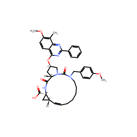 COc1ccc(CN2CCCCC/C=C\[C@@H]3C[C@@]3(C(=O)O)NC(=O)[C@@H]3C[C@@H](Oc4nc(-c5ccccc5)nc5c(C)c(OC)ccc45)CN3C2=O)cc1